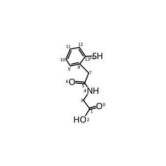 O=C(O)CNC(=O)Cc1ccccc1S